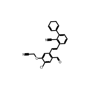 N#CCOc1cc(/C=C/c2cccc(C3=CCCC=C3)c2C#N)c(C=O)cc1Cl